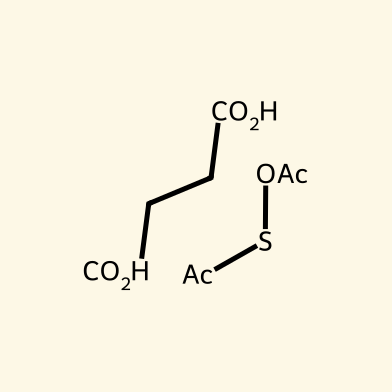 CC(=O)OSC(C)=O.O=C(O)CCC(=O)O